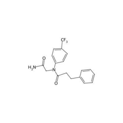 NC(=O)CN(C(=O)CCc1ccccc1)c1ccc(C(F)(F)F)cc1